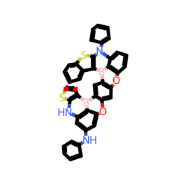 c1ccc(Nc2cc3c4c(c2)Oc2cc5c(cc2B4c2c(sc4ccccc24)N3)B2c3c(cccc3N(c3ccccc3)c3sc4ccccc4c32)O5)cc1